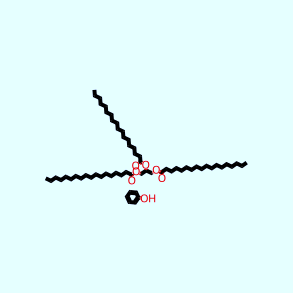 CCCCCCCCCCCCCCCCCC(=O)OCC(COC(=O)CCCCCCCCCCCCCCCCC)OC(=O)CCCCCCCCCCCCCCCCC.Oc1ccccc1